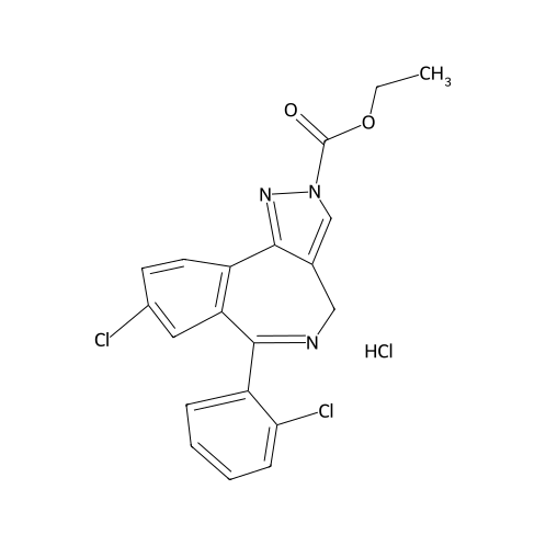 CCOC(=O)n1cc2c(n1)-c1ccc(Cl)cc1C(c1ccccc1Cl)=NC2.Cl